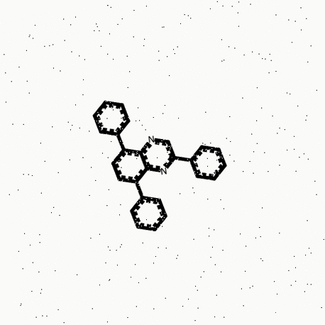 c1ccc(-c2cnc3c(-c4ccccc4)ccc(-c4ccccc4)c3n2)cc1